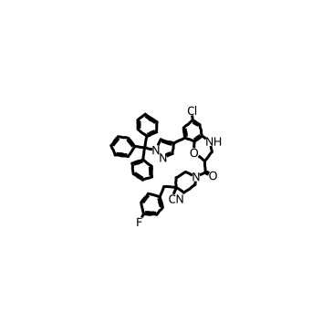 N#CC1(Cc2ccc(F)cc2)CCN(C(=O)C2CNc3cc(Cl)cc(-c4cnn(C(c5ccccc5)(c5ccccc5)c5ccccc5)c4)c3O2)CC1